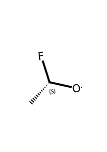 C[C@@H]([O])F